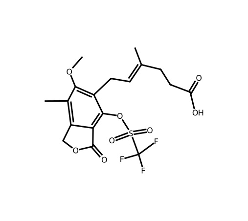 COc1c(C)c2c(c(OS(=O)(=O)C(F)(F)F)c1C/C=C(\C)CCC(=O)O)C(=O)OC2